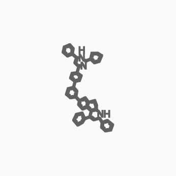 C1=C(c2ccccc2)NC(c2ccccc2)N=C1c1ccc(-c2cccc(-c3ccc4c5c(ccc4c3)NC(c3ccccc3)C=C5c3ccccc3)c2)cc1